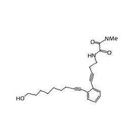 CNC(=O)C(=O)NCCC#Cc1ccccc1C#CCCCCCCCO